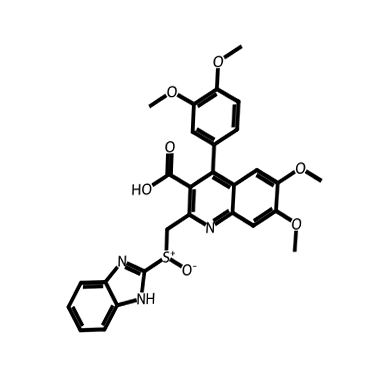 COc1ccc(-c2c(C(=O)O)c(C[S+]([O-])c3nc4ccccc4[nH]3)nc3cc(OC)c(OC)cc23)cc1OC